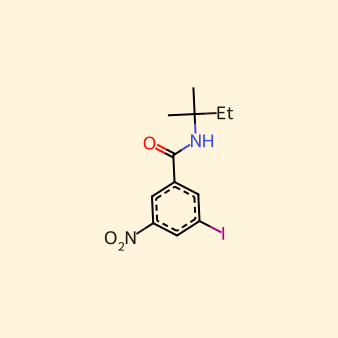 CCC(C)(C)NC(=O)c1cc(I)cc([N+](=O)[O-])c1